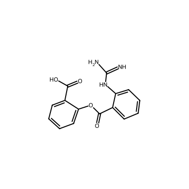 N=C(N)Nc1ccccc1C(=O)Oc1ccccc1C(=O)O